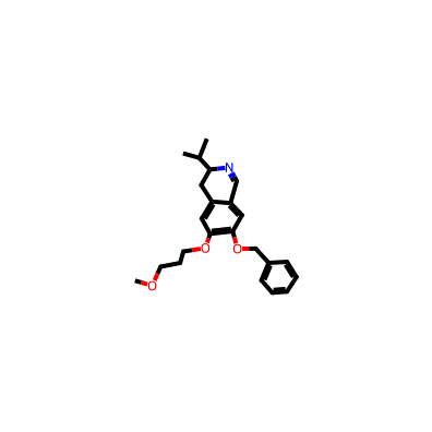 COCCCOc1cc2c(cc1OCc1ccccc1)C=NC(C(C)C)C2